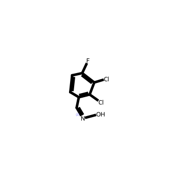 O/N=C\c1ccc(F)c(Cl)c1Cl